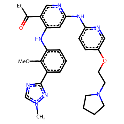 CCC(=O)c1cnc(Nc2ccc(OCCN3CCCC3)cn2)cc1Nc1cccc(-c2ncn(C)n2)c1OC